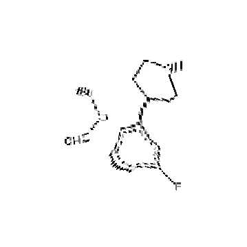 CC(C)(C)OC=O.Fc1cccc(C2CCNC2)c1